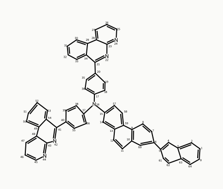 c1ccc2cc(-c3ccc4c(ccc5cc(N(c6ccc(-c7nc8ncccc8c8ccccc78)cc6)c6ccc(-c7nc8ncccc8c8ccccc78)cc6)ccc54)c3)ccc2c1